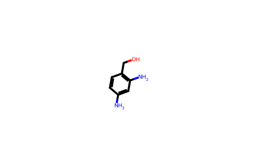 Nc1ccc(CO)c(N)c1